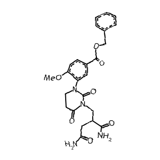 COc1ccc(C(=O)OCc2ccccc2)cc1N1CCC(=O)N(CC(CC(N)=O)C(N)=O)C1=O